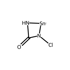 O=C1[NH][Sn][N]1Cl